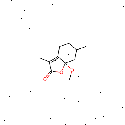 COC12CC(C)CCC1=C(C)C(=O)O2